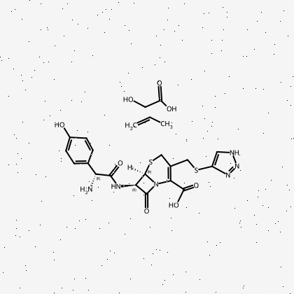 C=CC.N[C@@H](C(=O)N[C@@H]1C(=O)N2C(C(=O)O)=C(CSc3c[nH]nn3)CS[C@H]12)c1ccc(O)cc1.O=C(O)CO